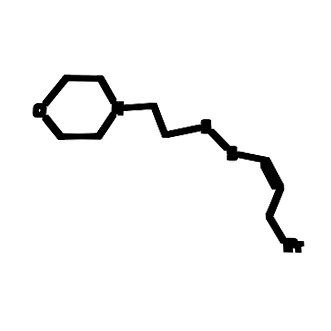 CC(C)C/C=C\SSCCN1CCOCC1